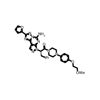 COCCOc1ccc(N2CCN(C(=O)[C@@H](CC(C)C)n3ncc4c3nc(N)n3nc(-c5ccco5)nc43)CC2)cc1